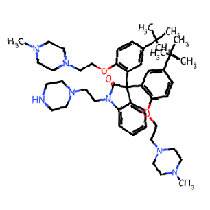 CN1CCN(CCOc2ccc(C(C)(C)C)cc2C2(c3cc(C(C)(C)C)ccc3OCCN3CCN(C)CC3)C(=O)N(CCN3CCNCC3)c3ccccc32)CC1